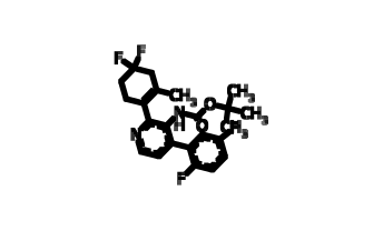 CC1=C(c2nccc(-c3cc(F)ccc3F)c2NC(=O)OC(C)(C)C)CCC(F)(F)C1